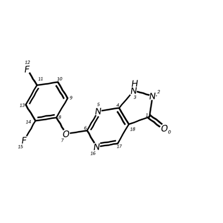 O=C1[N]Nc2nc(Oc3ccc(F)cc3F)ncc21